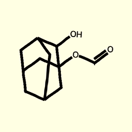 O=[C]OC12CC3CC(CC(C3)C1O)C2